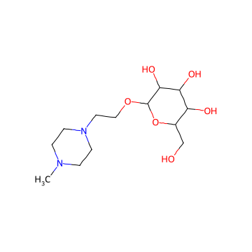 CN1CCN(CCOC2OC(CO)C(O)C(O)C2O)CC1